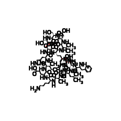 CC[C@H](C)[C@H](NC(=O)[C@H](CCC(=O)O)NC(=O)[C@H](CCCCN)NC(=O)[C@H](C)NC(=O)[C@H](Cc1ccc(O)cc1)NC(=O)[C@H](CC(C)C)NC(=O)[C@@H]1CCCN1C(=O)[C@@H](N)Cc1ccccc1)C(=O)N[C@@H](Cc1c[nH]cn1)C(=O)N[C@@H](CO)C(=O)N[C@@H](CCCNC(=N)N)C(=O)N[C@H](C(=O)N[C@@H](CC(=O)O)C(=O)N[C@@H](CO)C(=O)N[C@@H](CO)C(=O)O)C(C)C